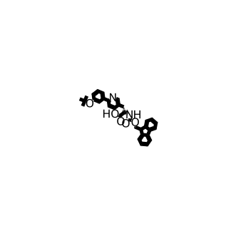 CC(C)(C)Oc1cccc(-c2ccc(C[C@H](NC(=O)OCC3c4ccccc4-c4ccccc43)C(=O)O)cn2)c1